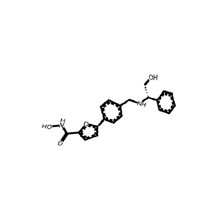 O=C(NO)c1ccc(-c2ccc(CN[C@H](CO)c3ccccc3)cc2)o1